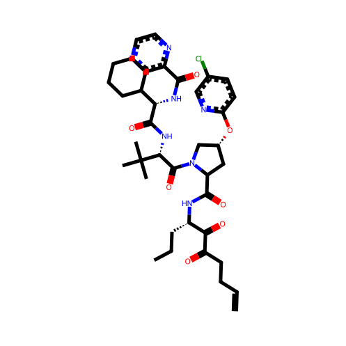 C=CCCC(=O)C(=O)[C@H](CCC)NC(=O)C1C[C@@H](Oc2ccc(Cl)cn2)CN1C(=O)[C@@H](NC(=O)[C@@H](NC(=O)c1cnccn1)C1CCCCC1)C(C)(C)C